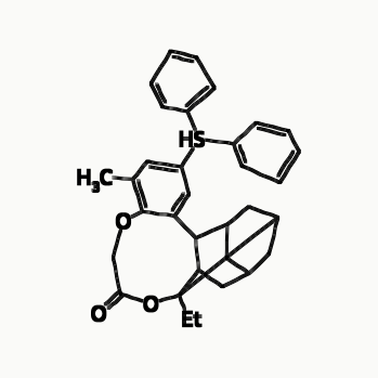 CCC12OC(=O)COc3c(C)cc([SH](c4ccccc4)c4ccccc4)cc3C3C4CC(CC1C4)CC32